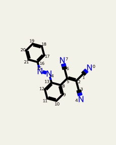 N#CC(C#N)=C(C#N)c1ccccc1N=Nc1ccccc1